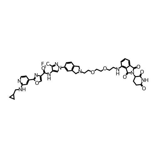 O=C1CCC(N2C(=O)c3cccc(NCCOCCOCCN4Cc5ccc(-n6cc(NC(=O)c7coc(-c8ccnc(NCC9CC9)c8)n7)c(C(F)(F)F)n6)cc5C4)c3C2=O)C(=O)N1